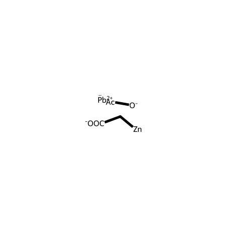 CC(=O)[O-].O=C([O-])[CH2][Zn].[Pb+2]